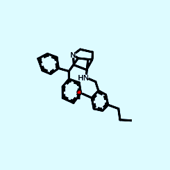 CCCc1ccc(OC)c(CNC2C3CCN(CC3)C2C(c2ccccc2)c2ccccc2)c1